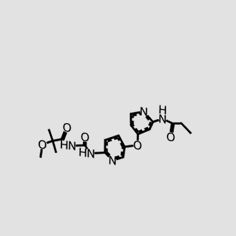 CCC(=O)Nc1cc(Oc2ccc(NC(=O)NC(=O)C(C)(C)OC)nc2)ccn1